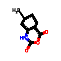 Bc1ccc2c(=O)oc(=O)[nH]c2c1